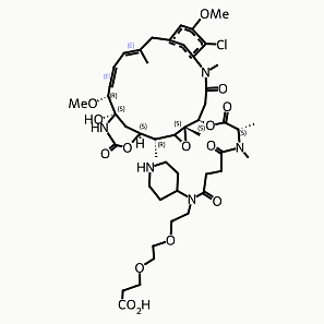 COc1cc2cc(c1Cl)N(C)C(=O)C[C@H](OC(=O)[C@H](C)N(C)C(=O)CCC(=O)N(CCOCCOCCC(=O)O)C1CCNCC1)[C@]1(C)OC1[C@H](C)[C@@H]1C[C@@](O)(NC(=O)O1)[C@H](OC)/C=C/C=C(\C)C2